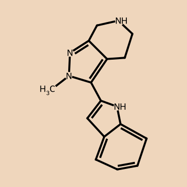 Cn1nc2c(c1-c1cc3ccccc3[nH]1)CCNC2